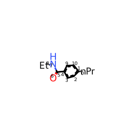 CCCc1ccc(C(=O)NCC)cc1